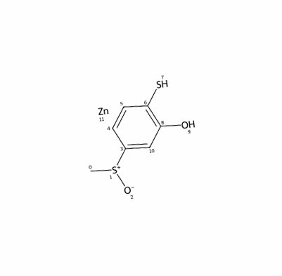 C[S+]([O-])c1ccc(S)c(O)c1.[Zn]